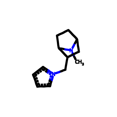 CN1C2CCC1C(Cn1cccc1)C2